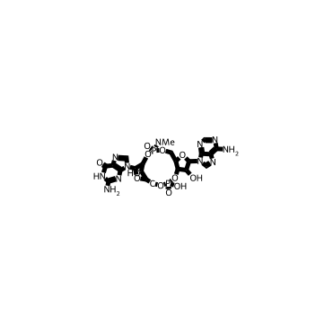 CNP1(=O)OCC2OC(n3cnc4c(N)ncnc43)C(O)C2OP(=O)(O)OCC2OC(n3cnc4c(=O)[nH]c(N)nc43)C(O1)C2O